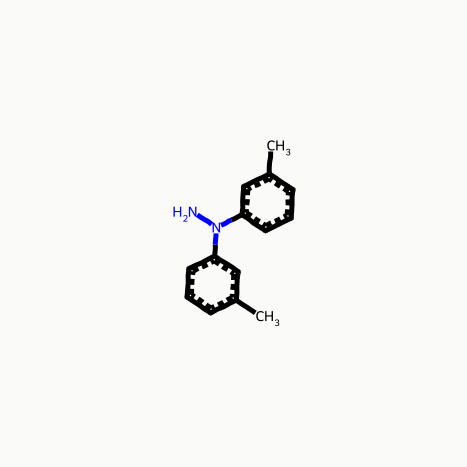 Cc1cccc(N(N)c2cccc(C)c2)c1